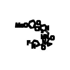 COc1ccc(Oc2ccc(CNC(=O)C3(NC(=O)c4ccc(F)nc4)CC3)nc2)c(C(F)(F)F)c1